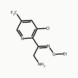 CCON=C(CN)c1ncc(C(F)(F)F)cc1Cl